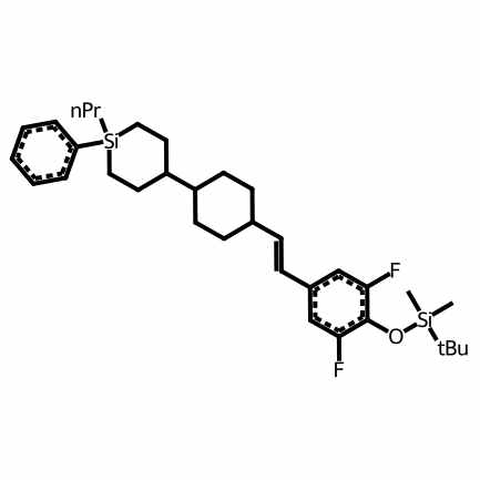 CCC[Si]1(c2ccccc2)CCC(C2CCC(C=Cc3cc(F)c(O[Si](C)(C)C(C)(C)C)c(F)c3)CC2)CC1